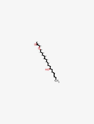 CCCCCCC(O)CCCCCCCCCCCOCC1CO1